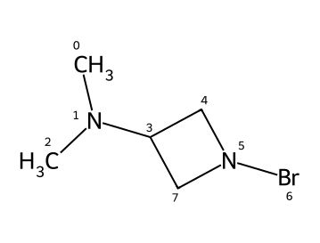 CN(C)C1CN(Br)C1